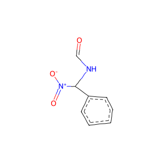 O=CNC(c1ccccc1)[N+](=O)[O-]